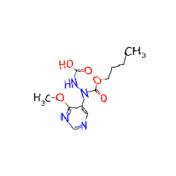 CCCCOC(=O)N(NC(=O)O)c1cncnc1OC